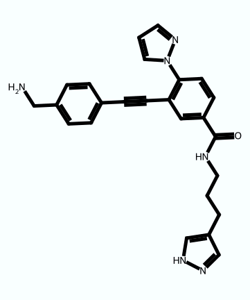 NCc1ccc(C#Cc2cc(C(=O)NCCCc3cn[nH]c3)ccc2-n2cccn2)cc1